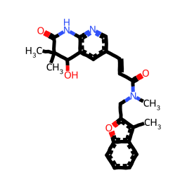 Cc1c(CN(C)C(=O)C=Cc2cnc3c(c2)C(O)C(C)(C)C(=O)N3)oc2ccccc12